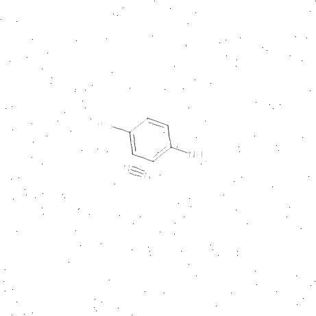 CC(C)(C)c1ccc(N)cc1.N#N